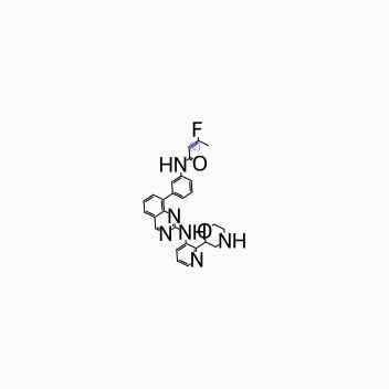 C/C(F)=C\C(=O)Nc1cccc(-c2cccc3cnc(Nc4cccnc4C4CNCCO4)nc23)c1